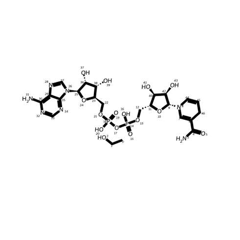 CCO.NC(=O)C1=CN([C@@H]2O[C@H](COP(=O)(O)OP(=O)(O)OC[C@H]3O[C@@H](n4cnc5c(N)ncnc54)[C@H](O)[C@@H]3O)[C@@H](O)[C@H]2O)C=CC1